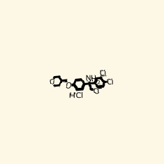 Cl.NC(C=O)(c1ccc(OCC2CCOCC2)cc1)c1ccc(Cl)c(Cl)c1